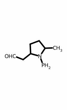 CC1CCC(CC=O)N1P